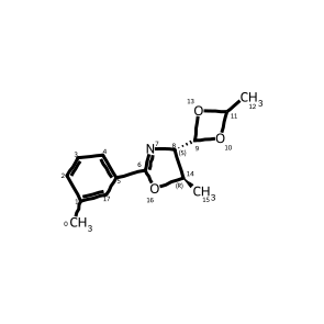 Cc1cccc(C2=N[C@H](C3OC(C)O3)[C@@H](C)O2)c1